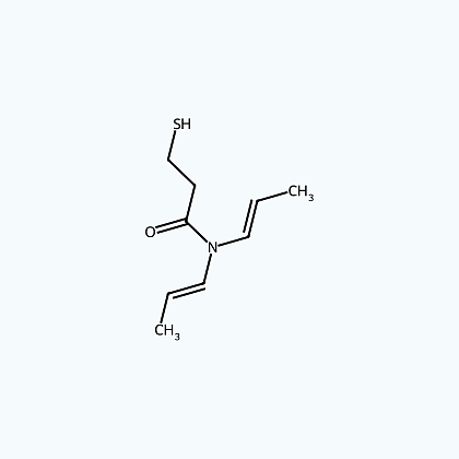 CC=CN(C=CC)C(=O)CCS